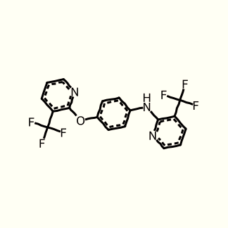 FC(F)(F)c1cccnc1Nc1ccc(Oc2ncccc2C(F)(F)F)cc1